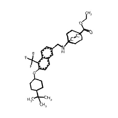 CCOC(=O)C12CCC(NCc3ccc4c(C(F)(F)F)c(OC5CCC(C(C)(C)C)CC5)ccc4c3)(CC1)CC2